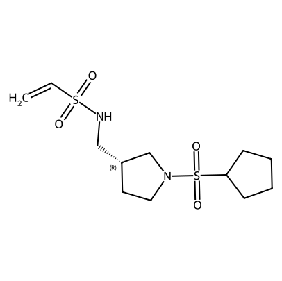 C=CS(=O)(=O)NC[C@H]1CCN(S(=O)(=O)C2CCCC2)C1